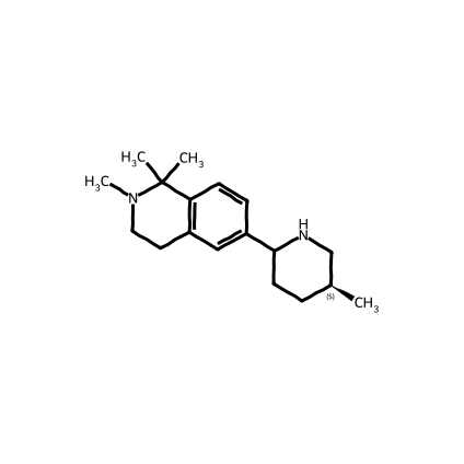 C[C@H]1CCC(c2ccc3c(c2)CCN(C)C3(C)C)NC1